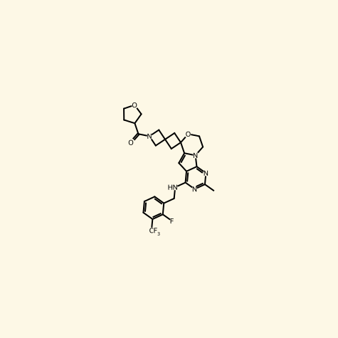 Cc1nc(NCc2cccc(C(F)(F)F)c2F)c2cc3n(c2n1)CCOC31CC2(CN(C(=O)C3CCOC3)C2)C1